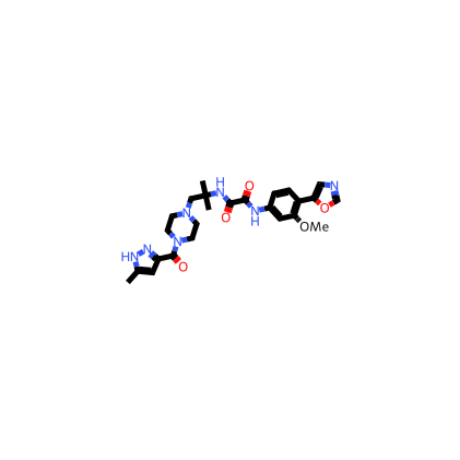 COc1cc(NC(=O)C(=O)NC(C)(C)CN2CCN(C(=O)c3cc(C)[nH]n3)CC2)ccc1-c1cnco1